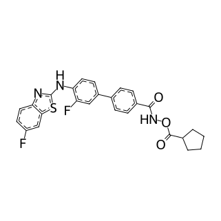 O=C(NOC(=O)C1CCCC1)c1ccc(-c2ccc(Nc3nc4ccc(F)cc4s3)c(F)c2)cc1